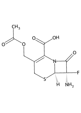 CC(=O)OCC1=C(C(=O)O)N2C(=O)[C@@](N)(F)[C@H]2SC1